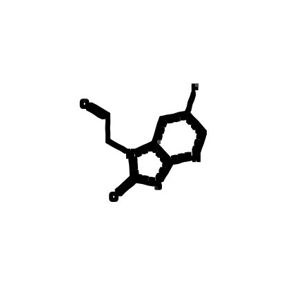 O=CCn1c(=O)sc2ncc(F)cc21